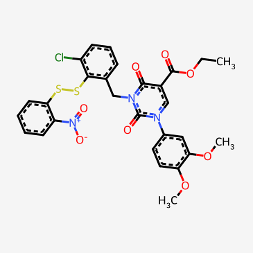 CCOC(=O)c1cn(-c2ccc(OC)c(OC)c2)c(=O)n(Cc2cccc(Cl)c2SSc2ccccc2[N+](=O)[O-])c1=O